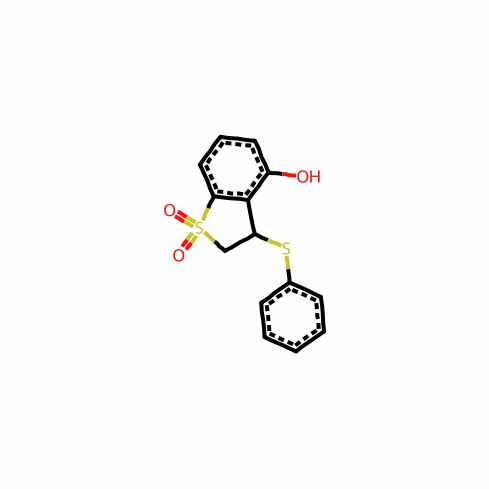 O=S1(=O)CC(Sc2ccccc2)c2c(O)cccc21